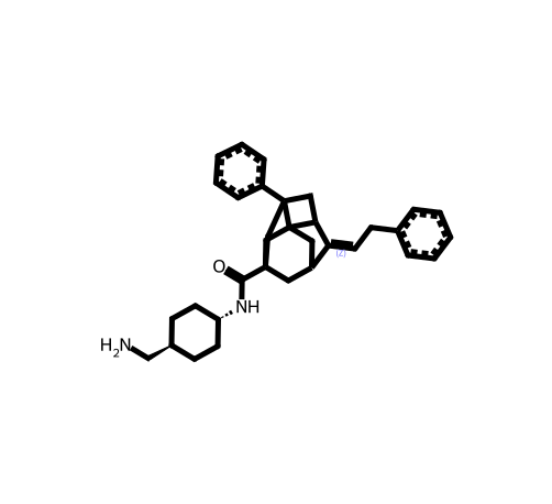 NC[C@H]1CC[C@H](NC(=O)C23CC4CC5(C2)C(CC5(c2ccccc2)C3)/C4=C\Cc2ccccc2)CC1